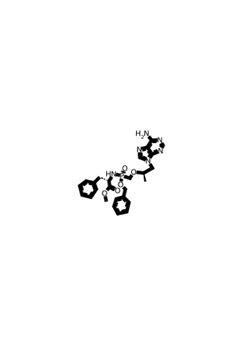 COC(=O)[C@H](Cc1ccccc1)NP(=O)(CO[C@H](C)Cn1cnc2c(N)ncnc21)OCc1ccccc1